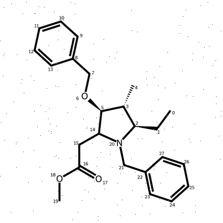 CC[C@@H]1[C@@H](C)[C@H](OCc2ccccc2)C(CC(=O)OC)N1Cc1ccccc1